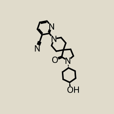 N#Cc1cccnc1N1CCC2(CC1)CCN([C@H]1CC[C@H](O)CC1)C2=O